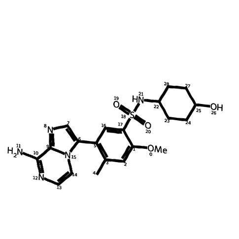 COc1cc(C)c(-c2cnc3c(N)nccn23)cc1S(=O)(=O)NC1CCC(O)CC1